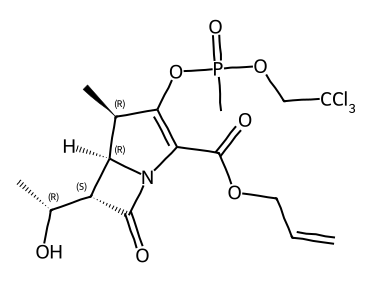 C=CCOC(=O)C1=C(OP(C)(=O)OCC(Cl)(Cl)Cl)[C@H](C)[C@@H]2[C@@H]([C@@H](C)O)C(=O)N12